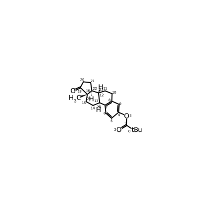 CC(C)(C)C(=O)Oc1ccc2c(c1)CC[C@@H]1[C@@H]2CC[C@]2(C)C(=O)CC[C@@H]12